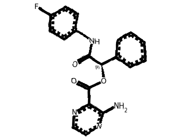 Nc1nccnc1C(=O)O[C@@H](C(=O)Nc1ccc(F)cc1)c1ccccc1